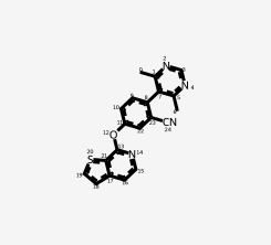 Cc1ncnc(C)c1-c1ccc(Oc2nccc3ccsc23)cc1C#N